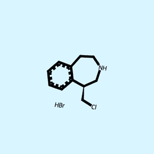 Br.ClC[C@@H]1CNCCc2ccccc21